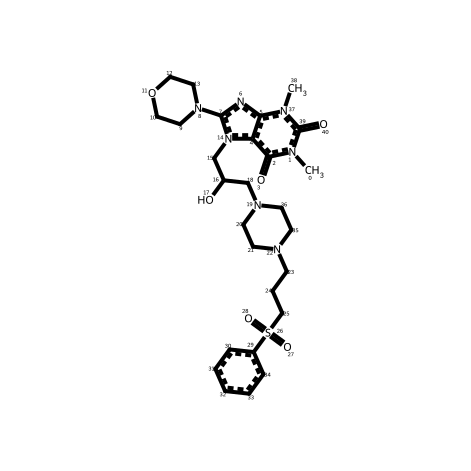 Cn1c(=O)c2c(nc(N3CCOCC3)n2CC(O)CN2CCN(CCCS(=O)(=O)c3ccccc3)CC2)n(C)c1=O